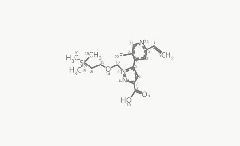 C=Cc1cc(-c2cc(C(=O)O)nn2COCC[Si](C)(C)C)c(F)cn1